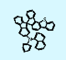 c1ccc(N(c2ccc3c(c2)C2(c4ccccc4-3)c3ccccc3-c3c2ccc2c3sc3ccccc32)c2cccc3ccccc23)cc1